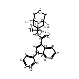 [2H]C([2H])([2H])N1[C@@H]2COC[C@H]1C[C@@H](NC(=O)c1cn(-c3cccnc3)c3ccccc13)C2